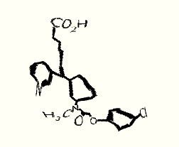 CN(C(=O)COc1ccc(Cl)cc1)c1cccc(C(=CCCCC(=O)O)c2cccnc2)c1